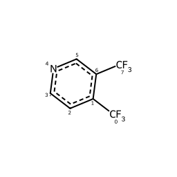 FC(F)(F)c1c[c]ncc1C(F)(F)F